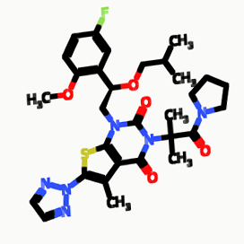 COc1ccc(F)cc1[C@H](Cn1c(=O)n(C(C)(C)C(=O)N2CCCC2)c(=O)c2c(C)c(-n3nccn3)sc21)OCC(C)C